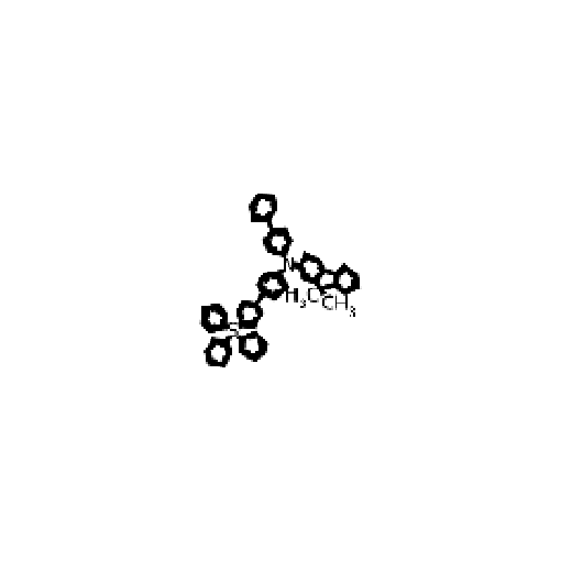 CC1(C)c2ccccc2-c2ccc(N(c3ccc(-c4ccccc4)cc3)c3ccc(-c4ccc(S(c5ccccc5)(c5ccccc5)c5ccccc5)cc4)cc3)cc21